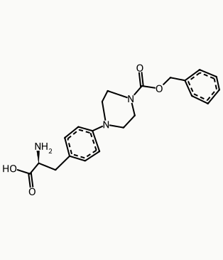 N[C@@H](Cc1ccc(N2CCN(C(=O)OCc3ccccc3)CC2)cc1)C(=O)O